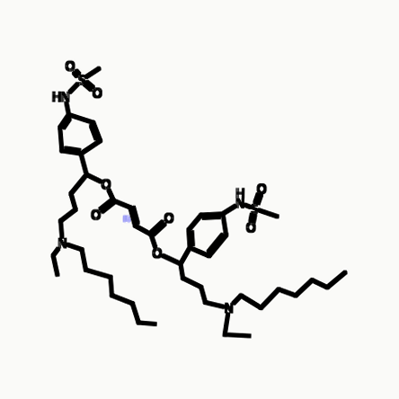 CCCCCCCN(CC)CCCC(OC(=O)/C=C/C(=O)OC(CCCN(CC)CCCCCCC)c1ccc(NS(C)(=O)=O)cc1)c1ccc(NS(C)(=O)=O)cc1